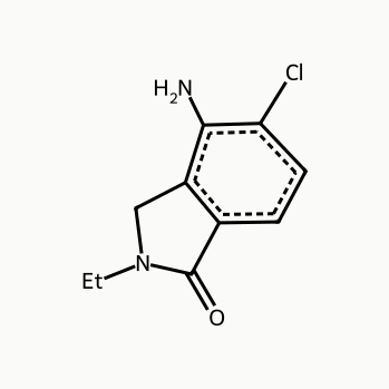 CCN1Cc2c(ccc(Cl)c2N)C1=O